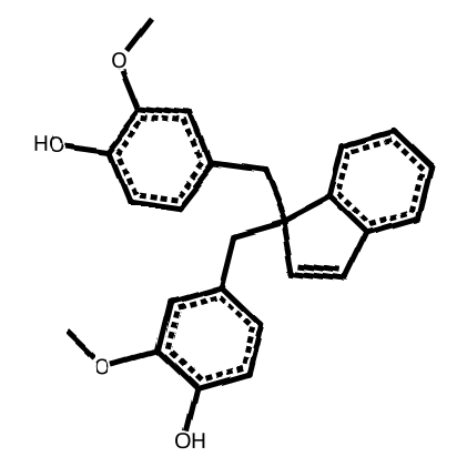 COc1cc(CC2(Cc3ccc(O)c(OC)c3)C=Cc3ccccc32)ccc1O